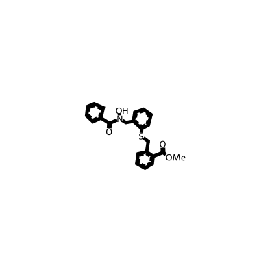 COC(=O)c1ccccc1CSc1ccccc1CN(O)C(=O)c1ccccc1